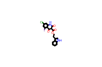 O=C1Nc2cc(Cl)cc(I)c2C(=O)C1C(=O)OCCc1c[nH]c2ccccc12